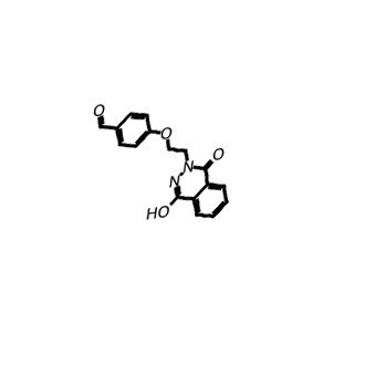 O=Cc1ccc(OCCn2nc(O)c3ccccc3c2=O)cc1